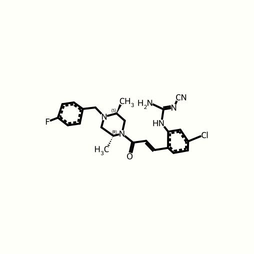 C[C@@H]1CN(Cc2ccc(F)cc2)[C@@H](C)CN1C(=O)C=Cc1ccc(Cl)cc1NC(N)=NC#N